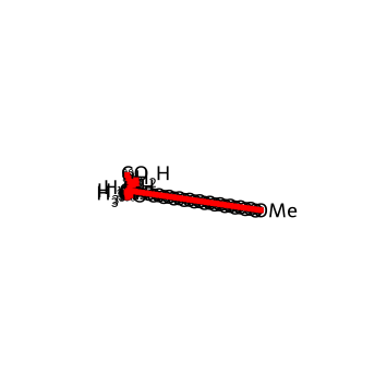 COCCOCCOCCOCCOCCOCCOCCOCCOCCOCCOCCOCCOCCOCCOCCOCCOCCOCCOCCOCCOCCOCCOCCCNC(=O)CCCCC[N+]1=C(/C=C/C=C2/N(CCCCCC(=O)O)c3ccccc3C2(C)C)C(C)(C)c2ccccc21